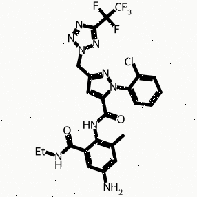 CCNC(=O)c1cc(N)cc(C)c1NC(=O)c1cc(Cn2nnc(C(F)(F)C(F)(F)F)n2)nn1-c1ccccc1Cl